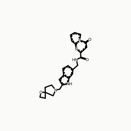 O=C(NCc1ccc2cc(CN3CCC4(CCO4)C3)[nH]c2c1)c1cc(=O)n2ccccc2n1